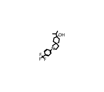 CC(C)[C@]1(O)CC[C@]2(CCN(c3ccc(C(F)(F)F)cc3)C2)CC1